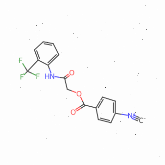 [C-]#[N+]c1ccc(C(=O)OCC(=O)Nc2ccccc2C(F)(F)F)cc1